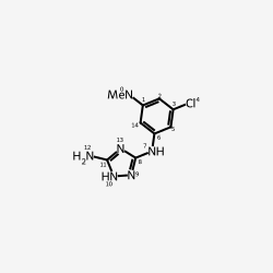 CNc1cc(Cl)cc(Nc2n[nH]c(N)n2)c1